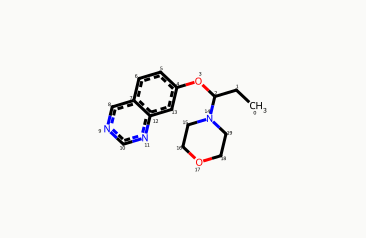 CCC(Oc1ccc2cncnc2c1)N1CCOCC1